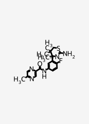 Cc1cnc(C(=O)Nc2ccc(F)c([C@@]3(C)N=C(N)SCC3(C)C)c2)cn1